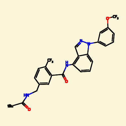 CC(C)(C)C(=O)NCc1ccc(C(F)(F)F)c(C(=O)Nc2cccc3c2cnn3-c2cccc(OC(F)(F)F)c2)c1